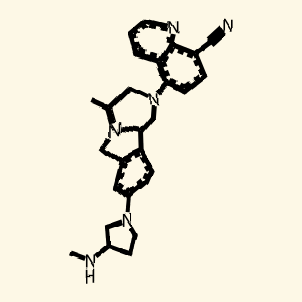 CNC1CCN(c2ccc3c(c2)CN2C(C)CN(c4ccc(C#N)c5ncccc45)CC32)C1